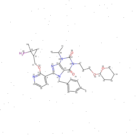 Cc1ccc(Cn2c(-c3cccnc3OCC3CC3(C)P)nc3c2c(=O)n(CCCOC2CCCCO2)c(=O)n3C(C)C)cc1